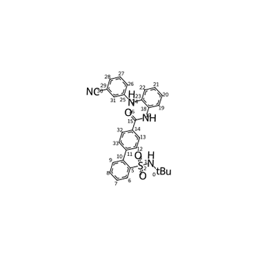 CC(C)(C)NS(=O)(=O)c1ccccc1-c1ccc(C(=O)Nc2ccccc2Nc2cccc(C#N)c2)cc1